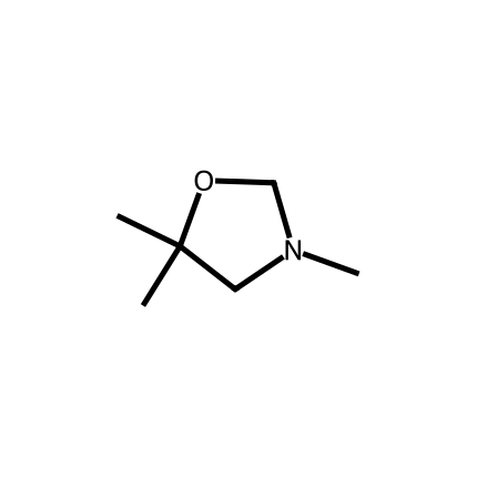 CN1COC(C)(C)C1